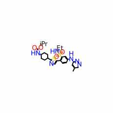 CCNS(=O)(=O)c1cc(Nc2cc(C)cnn2)ccc1-c1cnc(C2CCC(NC(=O)OC(C)C)CC2)s1